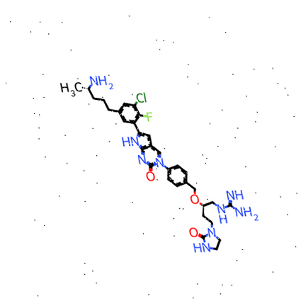 C[C@H](N)CCCc1cc(Cl)c(F)c(-c2cc3cn(-c4ccc(CO[C@H](CCN5CCNC5=O)CNC(=N)N)cc4)c(=O)nc3[nH]2)c1